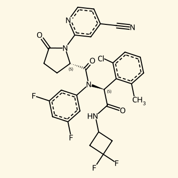 Cc1cccc(Cl)c1[C@@H](C(=O)NC1CC(F)(F)C1)N(C(=O)[C@@H]1CCC(=O)N1c1cc(C#N)ccn1)c1cc(F)cc(F)c1